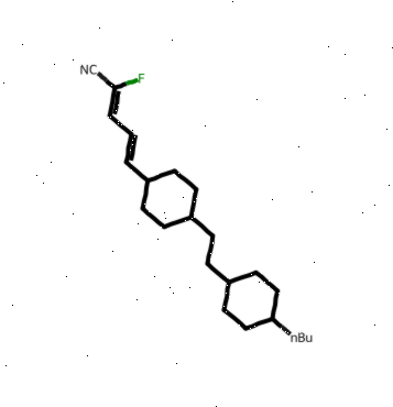 CCCCC1CCC(CCC2CCC(C=CC=C(F)C#N)CC2)CC1